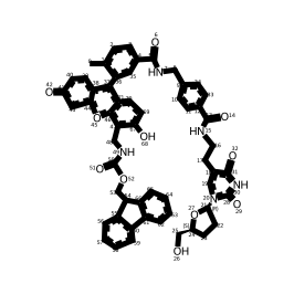 Cc1ccc(C(=O)NCc2ccc(C(=O)NCCc3cn([C@H]4CC[C@@H](CO)O4)c(=O)[nH]c3=O)cc2)cc1-c1c2ccc(=O)cc-2oc2c(CNC(=O)OCC3c4ccccc4-c4ccccc43)c(O)ccc12